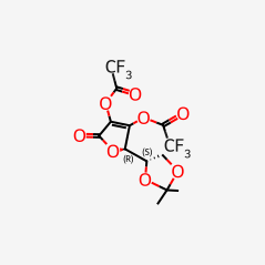 CC1(C)OC[C@@H]([C@H]2OC(=O)C(OC(=O)C(F)(F)F)=C2OC(=O)C(F)(F)F)O1